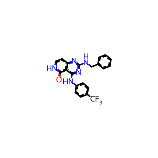 O=c1[nH]ccc2nc(NCc3ccccc3)nc(Nc3ccc(C(F)(F)F)cc3)c12